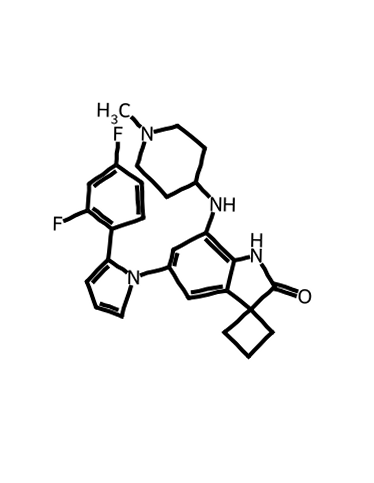 CN1CCC(Nc2cc(-n3cccc3-c3ccc(F)cc3F)cc3c2NC(=O)C32CCC2)CC1